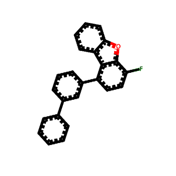 Fc1ccc(-c2cccc(-c3ccccc3)c2)c2c1oc1ccccc12